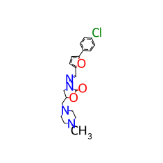 CN1CCN(CC2CN(/N=C/c3ccc(-c4ccc(Cl)cc4)o3)C(=O)O2)CC1